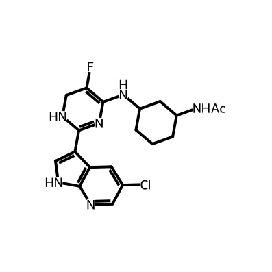 CC(=O)NC1CCCC(NC2=C(F)CNC(c3c[nH]c4ncc(Cl)cc34)=N2)C1